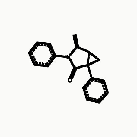 C=C1C2CC2(c2ccccc2)C(=O)N1c1ccccc1